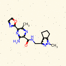 Cc1nc(C(=O)NCc2nn(C)c3c2CCC3)c(N)nc1-c1ncco1